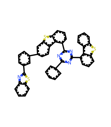 c1ccc(-c2nc(-c3cccc4sc5ccccc5c34)nc(-c3cccc4sc5cc(-c6cccc(-c7nc8ccccc8s7)c6)ccc5c34)n2)cc1